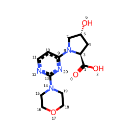 O=C(O)[C@@H]1C[C@@H](O)CN1c1ccnc(N2CCOCC2)n1